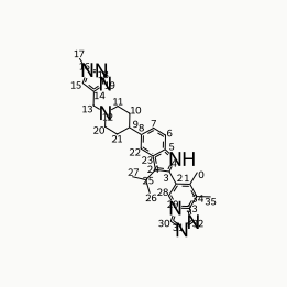 Cc1c(-c2[nH]c3ccc(C4CCN(Cc5cn(C)nn5)CC4)cc3c2C(C)C)cn2cnnc2c1C